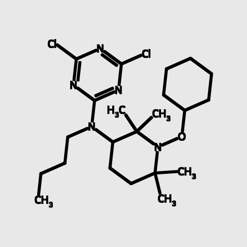 CCCCN(c1nc(Cl)nc(Cl)n1)C1CCC(C)(C)N(OC2CCCCC2)C1(C)C